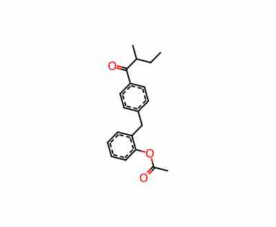 CCC(C)C(=O)c1ccc(Cc2ccccc2OC(C)=O)cc1